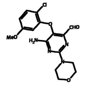 COc1ccc(Cl)c(Oc2c(N)nc(N3CCOCC3)nc2C=O)c1